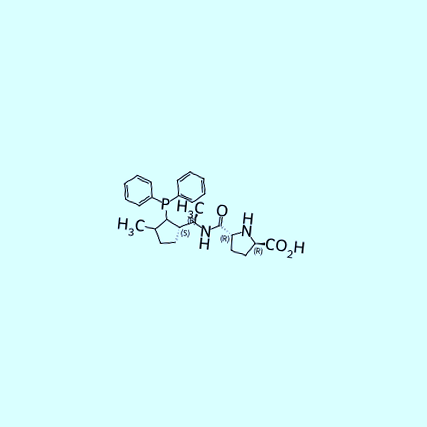 CC1CC[C@@H]([C@@H](C)NC(=O)[C@H]2CC[C@H](C(=O)O)N2)C1P(c1ccccc1)c1ccccc1